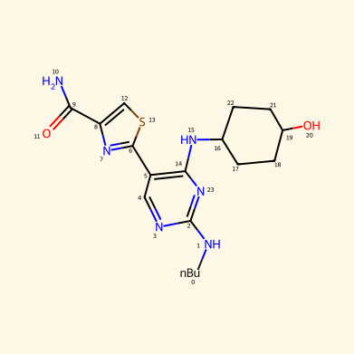 CCCCNc1ncc(-c2nc(C(N)=O)cs2)c(NC2CCC(O)CC2)n1